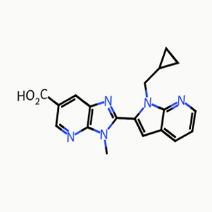 Cn1c(-c2cc3cccnc3n2CC2CC2)nc2cc(C(=O)O)cnc21